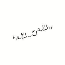 NC[C@H](N)CCCc1ccc(OC[C@H](O)CO)cc1